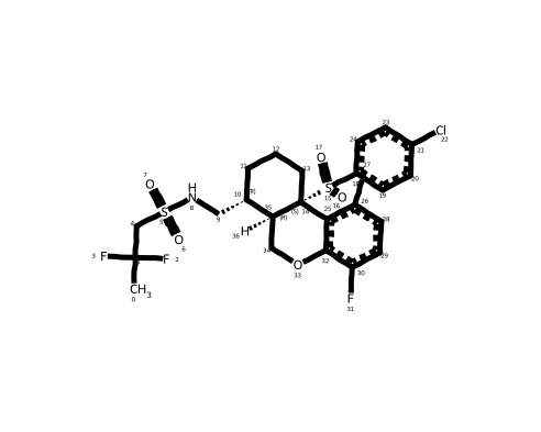 CC(F)(F)CS(=O)(=O)NC[C@@H]1CCC[C@@]2(S(=O)(=O)c3ccc(Cl)cc3)c3c(F)ccc(F)c3OC[C@@H]12